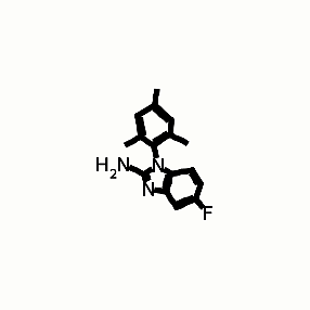 Cc1cc(C)c(-n2c(N)nc3cc(F)ccc32)c(C)c1